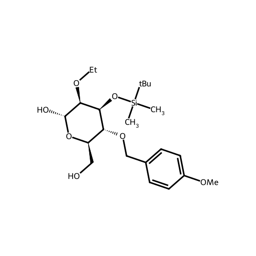 CCO[C@H]1[C@@H](O[Si](C)(C)C(C)(C)C)[C@H](OCc2ccc(OC)cc2)[C@@H](CO)O[C@@H]1O